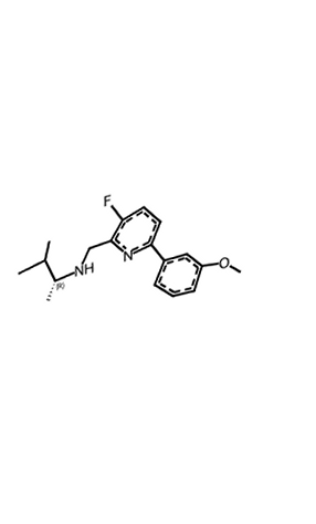 COc1cccc(-c2ccc(F)c(CN[C@H](C)C(C)C)n2)c1